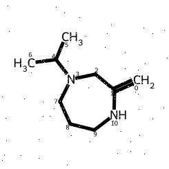 C=C1CN(C(C)C)CCCN1